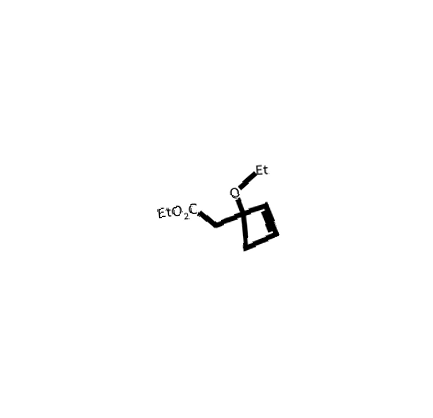 CCOC(=O)CC1(OCC)C=CC1